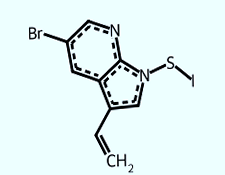 C=Cc1cn(SI)c2ncc(Br)cc12